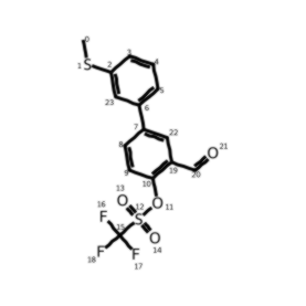 CSc1cccc(-c2ccc(OS(=O)(=O)C(F)(F)F)c(C=O)c2)c1